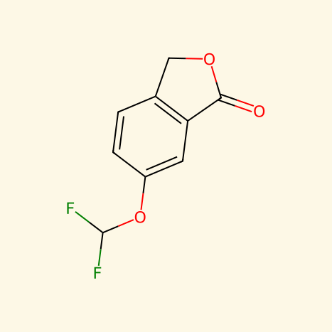 O=C1OCc2ccc(OC(F)F)cc21